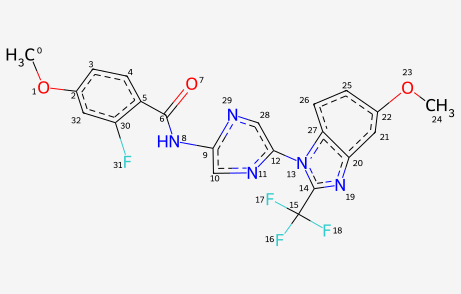 COc1ccc(C(=O)Nc2cnc(-n3c(C(F)(F)F)nc4cc(OC)ccc43)cn2)c(F)c1